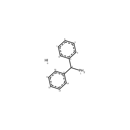 I.PC(c1ccccc1)c1ccccc1